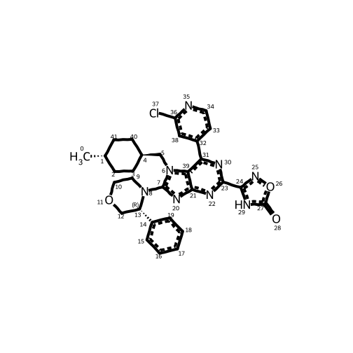 C[C@H]1CC[C@H](Cn2c(N3CCOC[C@H]3c3ccccc3)nc3nc(-c4noc(=O)[nH]4)nc(-c4ccnc(Cl)c4)c32)CC1